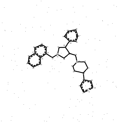 c1ccc(C2CCN(CC3CN(Cc4cccc5ccccc45)CC3c3ccccc3)CC2)cc1